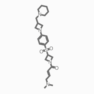 CN(C)C/C=C/C(=O)N1CC(S(=O)(=O)c2ccc(N3CC(CN4CCCCC4)C3)cc2)C1